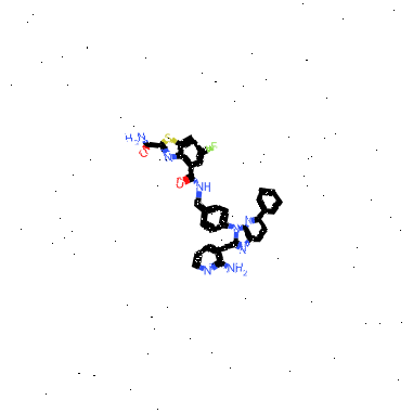 NC(=O)c1nc2c(C(=O)NCc3ccc(-n4c(-c5cccnc5N)nc5ccc(-c6ccccc6)nc54)cc3)cc(F)cc2s1